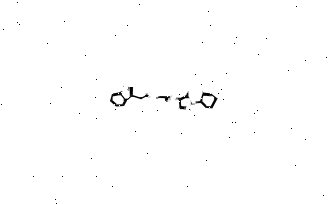 Cc1nn(-c2ccccc2)c(C)c1NC(=O)COC(=O)Cc1c[nH]c2ccccc12